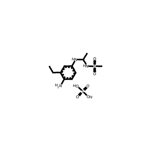 CCc1cc(NC(C)NS(C)(=O)=O)ccc1N.O=S(=O)(O)O